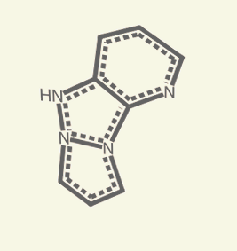 c1cnc2c(c1)[nH][n+]1cccn21